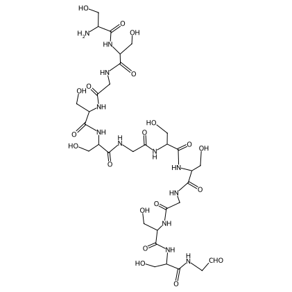 NC(CO)C(=O)NC(CO)C(=O)NCC(=O)NC(CO)C(=O)NC(CO)C(=O)NCC(=O)NC(CO)C(=O)NC(CO)C(=O)NCC(=O)NC(CO)C(=O)NC(CO)C(=O)NCC=O